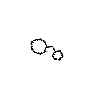 c1ccc[pH]c(Cc2ccccc2)ccc1